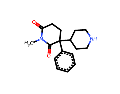 CN1C(=O)CCC(c2ccccc2)(C2CCNCC2)C1=O